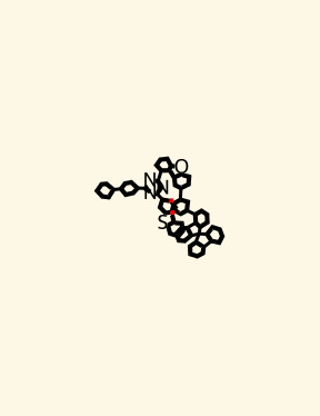 c1ccc(-c2ccc(-c3nc(-c4ccc5c(c4)sc4ccccc45)nc(-c4cccc5oc6ccc(-c7cccc(-c8cccc9c8-c8ccccc8C98c9ccccc9-c9ccccc98)c7)cc6c45)n3)cc2)cc1